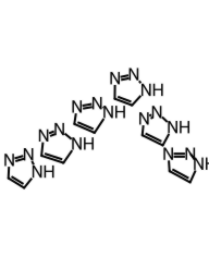 c1c[nH]nn1.c1c[nH]nn1.c1c[nH]nn1.c1c[nH]nn1.c1c[nH]nn1.c1c[nH]nn1